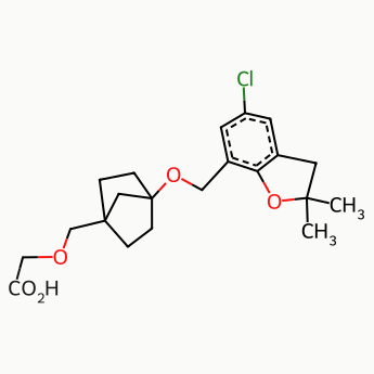 CC1(C)Cc2cc(Cl)cc(COC34CCC(COCC(=O)O)(CC3)C4)c2O1